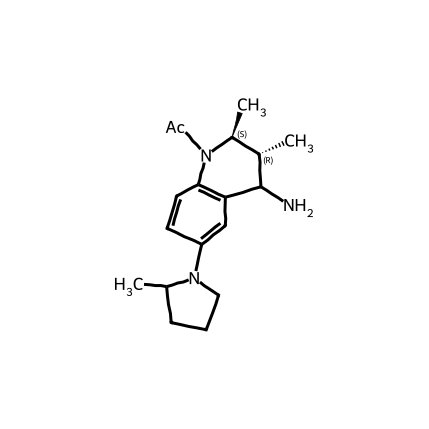 CC(=O)N1c2ccc(N3CCCC3C)cc2C(N)[C@@H](C)[C@@H]1C